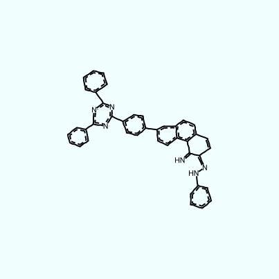 N=C1/C(=N\Nc2ccccc2)C=Cc2ccc3cc(-c4ccc(-c5nc(-c6ccccc6)nc(-c6ccccc6)n5)cc4)ccc3c21